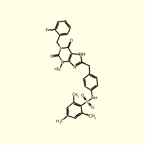 CCCCn1c(=O)n(Cc2ccccc2F)c(=O)c2[nH]c(Cc3ccc(NS(=O)(=O)c4c(C)cc(C)cc4C)cc3)nc21